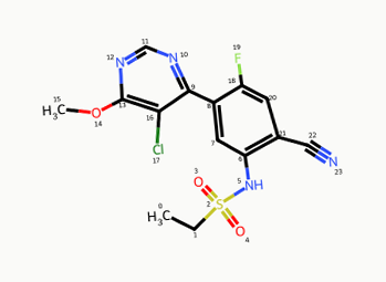 CCS(=O)(=O)Nc1cc(-c2ncnc(OC)c2Cl)c(F)cc1C#N